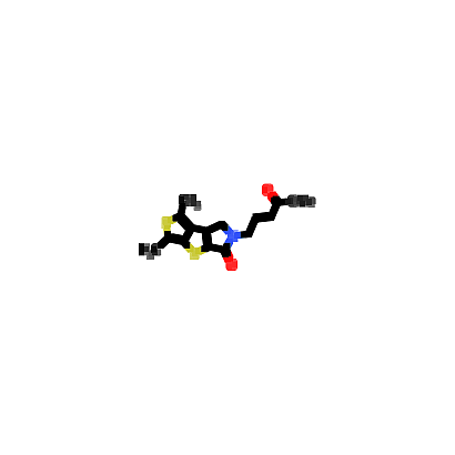 COC(=O)C=CCN1Cc2c(sc3c(C)sc(C)c23)C1=O